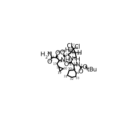 CC(C)(C)OC(=O)NC(C(=O)N1C[C@@H]2[C@H]([C@H]1C(=O)NC(CC1CC1)C(=O)C(N)=O)C2(Cl)Cl)C1CCCCC1